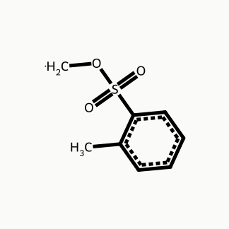 [CH2]OS(=O)(=O)c1ccccc1C